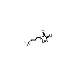 CCCCN1N=NC(=O)C1=O